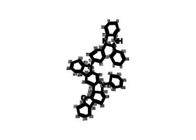 c1ccc(C2Nc3ccccc3N=C2c2ccc(-n3c4ccccc4c4cc5c6c7oc8ccccc8c7ccc6n(-c6ccccc6)c5cc43)cc2)cc1